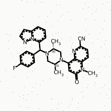 C[C@@H]1CN(c2cc(=O)n(C)c3ccc(C#N)nc23)[C@@H](C)CN1C(c1ccc(F)cc1)c1cccc2ccnn12